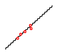 CCCCCCCCCCCCCCCCCCOC(=O)CCCOCCOCCOCCCCCCCCCC